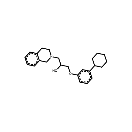 OC(COc1cccc(C2CCCCC2)c1)CN1CCc2ccccc2C1